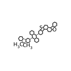 CC1(C)c2ccccc2-c2cc(-c3c4ccccc4c(-c4ccc5c(c4)sc4ccc6c(ccc7oc8ccccc8c76)c45)c4ccccc34)ccc21